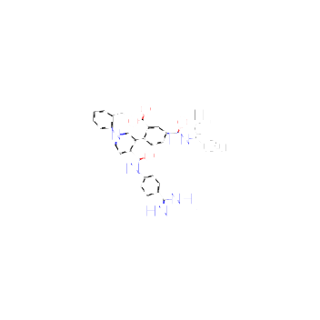 CC(NC(=O)c1ccc(-c2cnccc2C(=O)Nc2ccc(C(=N)N)cc2)c(C(=O)OCc2ccccc2)c1)C(C)(C)C